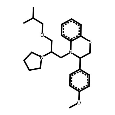 COc1ccc(C2CSc3ccccc3N2CC(COCC(C)C)N2CCCC2)cc1